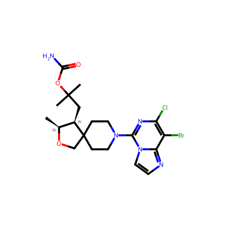 C[C@@H]1OCC2(CCN(c3nc(Cl)c(Br)c4nccn34)CC2)[C@@H]1CC(C)(C)OC(N)=O